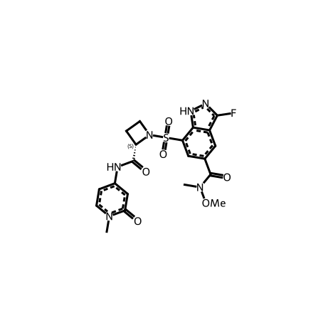 CON(C)C(=O)c1cc(S(=O)(=O)N2CC[C@H]2C(=O)Nc2ccn(C)c(=O)c2)c2[nH]nc(F)c2c1